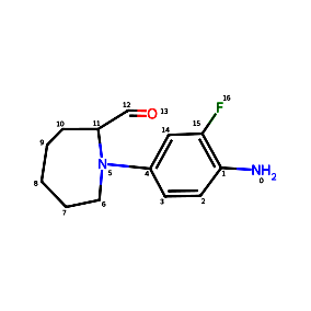 Nc1ccc(N2CCCCCC2C=O)cc1F